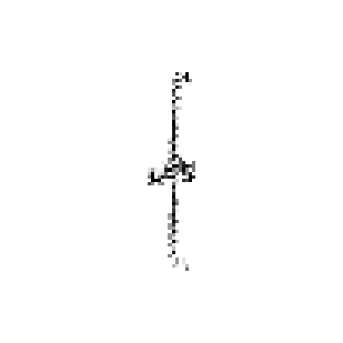 CCCCCCCCCCCCCCCCCCC(C(=O)O)C(CCCCCCCCCCCCCCCCCC)(C(O)=S)c1nc2ccccc2o1